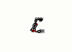 C=C(C)[C@@H]1CC[C@]2(NCCN3CCS(O)(O)CC3)CC[C@]3(C)[C@H](CC[C@@H]4[C@@]5(C)CC=C(C6=CCC(CCOc7ncccc7C)(C(=O)O)CC6)C(C)(C)[C@@H]5CC[C@]43C)[C@@H]12